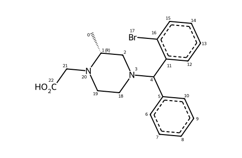 C[C@@H]1CN(C(c2ccccc2)c2ccccc2Br)CCN1CC(=O)O